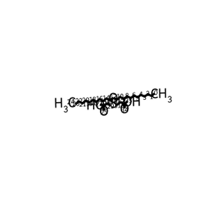 CCCCCCCCCCCCOCCCCCCCCCCCC.O=C(O)CCSCCC(=O)O